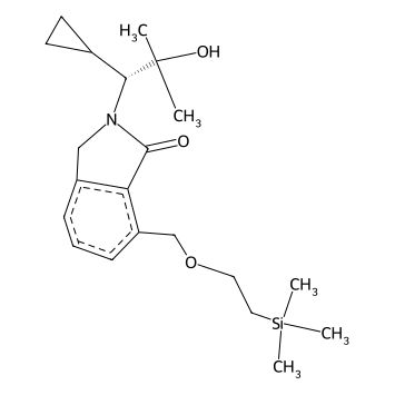 CC(C)(O)[C@@H](C1CC1)N1Cc2cccc(COCC[Si](C)(C)C)c2C1=O